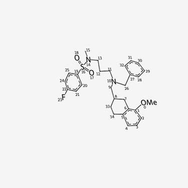 COc1cccc2c1CC(CN(CCCN(C)S(=O)(=O)c1ccc(F)cc1)Cc1ccccc1)CC2